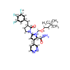 C[Si](C)(C)CCOCn1c(N2CCC(Cc3cc(F)c(F)c(F)c3)C2=O)cc(-c2ccnnc2)c1C(N)=O